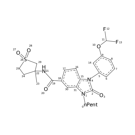 CCCCCn1c(=O)n(-c2cccc(OC(F)F)c2)c2ccc(C(=O)NC3(C)CCS(=O)(=O)C3)cc21